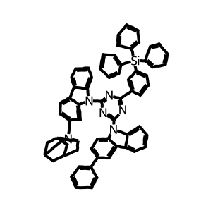 c1ccc(-c2ccc3c(c2)c2ccccc2n3-c2nc(-c3cccc([Si](c4ccccc4)(c4ccccc4)c4ccccc4)c3)nc(-n3c4ccccc4c4ccc(N5C6CC7CC(C6)CC5C7)cc43)n2)cc1